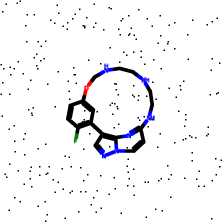 Fc1ccc2cc1-c1cnn3ccc(nc13)NCCNCCNCO2